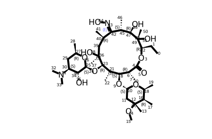 CC[C@H]1OC(=O)[C@H](C)[C@@H](O[C@H]2C[C@@](C)(OC)[C@H](C)[C@H](C)O2)[C@H](C)[C@@H](O[C@@H]2O[C@H](C)C[C@H](N(C)C)[C@H]2O)[C@@](C)(O)C[C@@H](C)/C(=N\O)[C@H](C)[C@@H](O)[C@]1(C)O